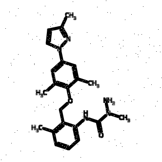 Cc1ccn(-c2cc(C)c(OCc3c(C)cccc3NC(=O)N(C)N)c(C)c2)n1